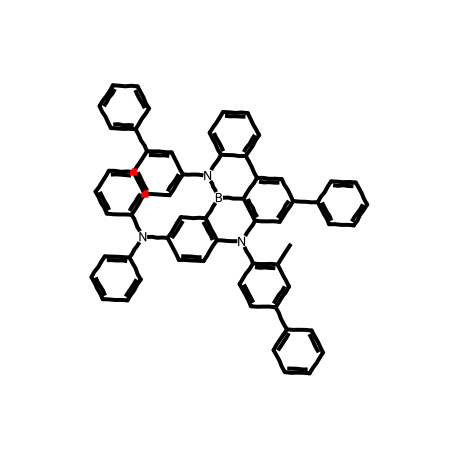 Cc1cc(-c2ccccc2)ccc1N1c2ccc(N(c3ccccc3)c3ccccc3)cc2B2c3c(cc(-c4ccccc4)cc31)-c1ccccc1N2c1cccc(-c2ccccc2)c1